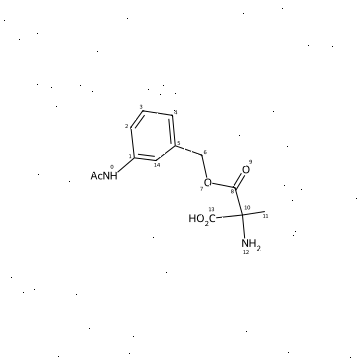 CC(=O)Nc1cccc(COC(=O)C(C)(N)C(=O)O)c1